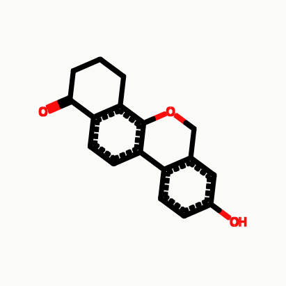 O=C1CCCc2c1ccc1c2OCc2cc(O)ccc2-1